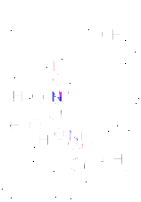 C=CCc1ccccc1C(=O)ONC(=O)CC1=CC(=NOC(O)CCCCCCCCC)C2C(=C1)C(C)(C)CCC2(C)C